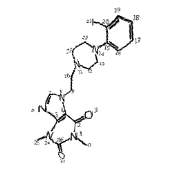 Cn1c(=O)c2c(ncn2CCN2CCN(c3ccccc3I)CC2)n(C)c1=O